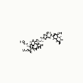 CCn1c(C(=O)OC)c(CCCO)c2ccc(Cl)c(-c3c(CCCc4cc(CCc5cc(O)c6ccc(F)cc6c5)n(C)n4)cnn3C)c21